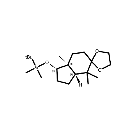 CC1(C)[C@@H]2CC[C@H](O[Si](C)(C)C(C)(C)C)[C@@]2(C)CCC12OCCO2